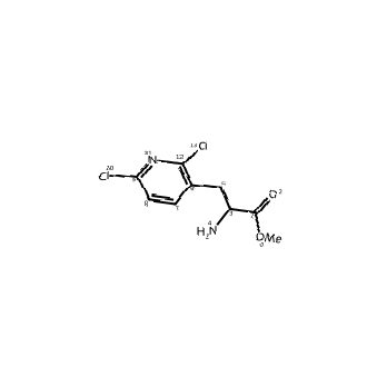 COC(=O)C(N)Cc1ccc(Cl)nc1Cl